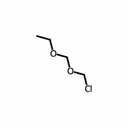 CCOCOCCl